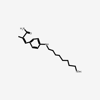 CCCCCCCCCCCCCCCCCCNc1ccc(C=C(C)C(N)=O)cc1